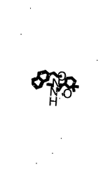 COC1C(c2c[nH]c(C)n2)C(OCCc2ccc3ccccc3c2)CCC1(C)C